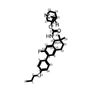 CCCOc1ccc(-c2cc3c(cc2F)[C@H](NC(=O)O[C@@H]2CN4CCC2CC4)C(C)(C)CC3)cc1